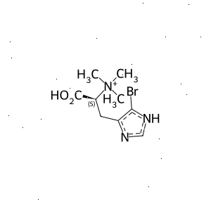 C[N+](C)(C)[C@@H](Cc1nc[nH]c1Br)C(=O)O